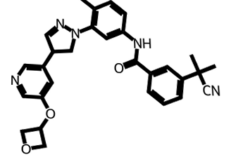 Cc1ccc(NC(=O)c2cccc(C(C)(C)C#N)c2)cc1N1CC(c2cncc(OC3COC3)c2)C=N1